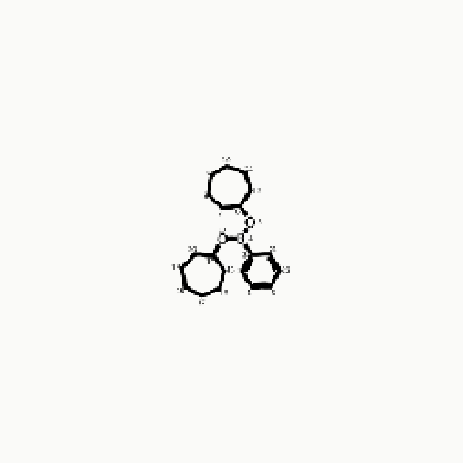 c1ccc(B(OC2CCCCCC2)OC2CCCCCC2)cc1